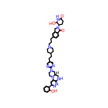 O=C1CCC(N2Cc3cc(CCCN4CCC(CCc5cnc(N6CCN7c8cc(-c9ccccc9O)nnc8NC[C@@H]7C6)nc5)CC4)ccc3C2=O)C(O)N1